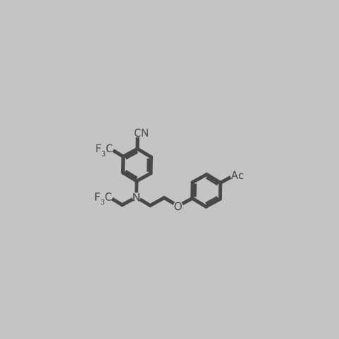 CC(=O)c1ccc(OCCN(CC(F)(F)F)c2ccc(C#N)c(C(F)(F)F)c2)cc1